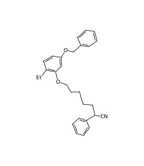 CCc1ccc(OCc2ccccc2)cc1OCCCCCC(C#N)c1ccccc1